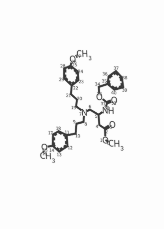 COC(=O)CC(CN(CCCc1ccc(OC)cc1)CCCc1ccc(OC)cc1)NC(=O)OCc1ccccc1